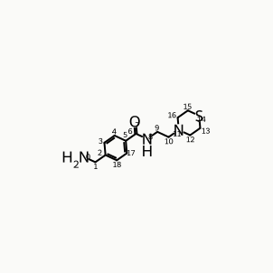 NCc1ccc(C(=O)NCCN2CCSCC2)cc1